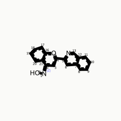 O/N=c1/cc(-c2cc3ccccc3cn2)oc2ccccc12